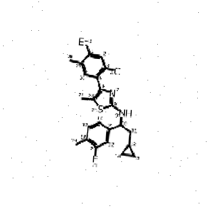 CCc1cc(Cl)c(-c2nc(NC(CC3CC3)c3ccc(C)c(F)c3)sc2C)cc1C